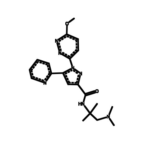 COc1ccc(-n2nc(C(=O)NC(C)(C)CN(C)C)cc2-c2ccccn2)nn1